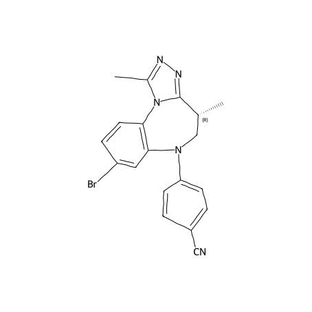 Cc1nnc2n1-c1ccc(Br)cc1N(c1ccc(C#N)cc1)C[C@H]2C